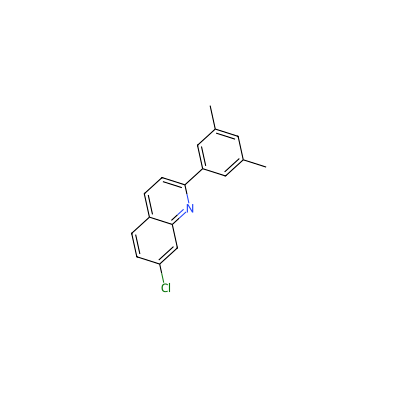 Cc1cc(C)cc(-c2ccc3ccc(Cl)cc3n2)c1